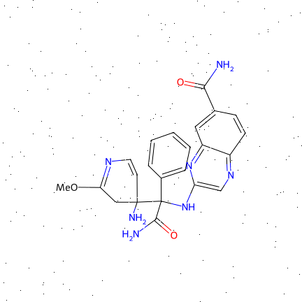 COC1=NC=CC(N)(C(Nc2cnc3ccc(C(N)=O)cc3n2)(C(N)=O)c2ccccc2)C1